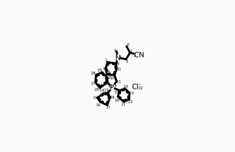 CC(C#N)CN(C)c1cccc(C[P+](c2ccccc2)(c2ccccc2)c2ccccc2)c1.[Cl-]